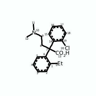 CCc1ccccc1C(CCN(C)C)(C(=O)O)c1ccccc1Cl